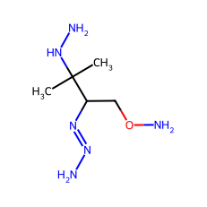 CC(C)(NN)C(CON)N=NN